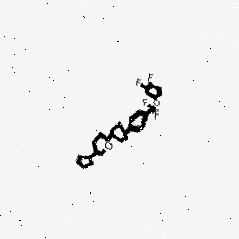 Fc1ccc(OC(F)(F)c2ccc(C3CCC(C4CCC(C5CCCC5)CO4)CC3)cc2)cc1F